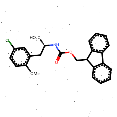 COc1ccc(Cl)cc1C[C@H](NC(=O)OCC1c2ccccc2-c2ccccc21)C(=O)O